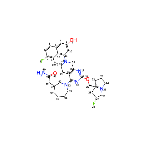 CCc1c(F)ccc2cc(O)cc(N3CCc4c(nc(OC[C@@]56CCCN5C[C@H](F)C6)nc4N4CCCCC(CC(N)=O)C4)C3)c12